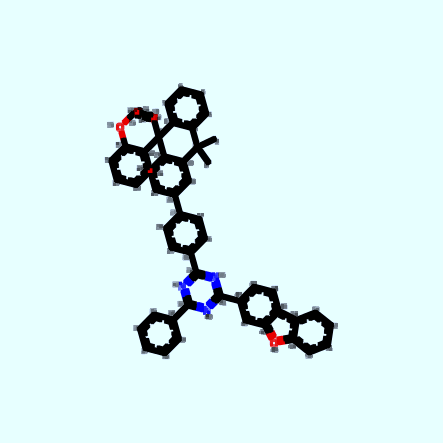 CC1(C)c2ccccc2C2(c3ccccc3Oc3ccccc32)c2ccc(-c3ccc(-c4nc(-c5ccccc5)nc(-c5ccc6c(c5)oc5ccccc56)n4)cc3)cc21